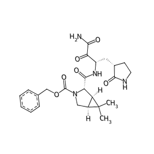 CC1(C)[C@@H]2[C@@H](C(=O)N[C@@H](C[C@@H]3CCNC3=O)C(=O)C(N)=O)N(C(=O)OCc3ccccc3)C[C@@H]21